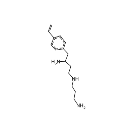 C=Cc1ccc(CC(N)CCNCCCN)cc1